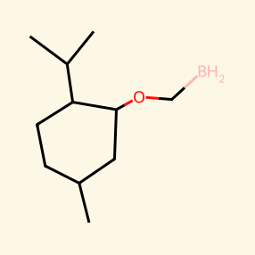 BCOC1CC(C)CCC1C(C)C